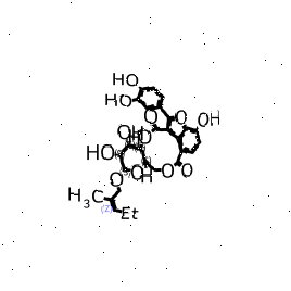 CC/C=C(/C)CO[C@H]1O[C@H]2COC(=O)c3ccc(O)c4oc(-c5ccc(O)c(O)c5)c(c34)C(=O)O[C@@H]2[C@@H](O)[C@@H]1O